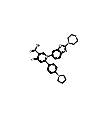 O=C(O)c1cn(-c2ccc3nc(N4CCOCC4)oc3c2)c(-c2ccc(N3CCCC3)cc2)cc1=O